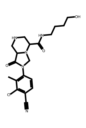 Cc1c(N2CN3C(C(=O)NCCCCO)CNCC3C2=O)ccc(C#N)c1Cl